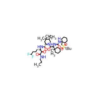 C=CCNC(=O)C(=O)[C@H](CCCC(F)F)NC(=O)[C@@H]1CC(C)(C)C(C)CN1C(=O)[C@@H](NC(=O)NC1(CS(=O)(=O)C(C)(C)C)CCCCC1)C1(C)CCCCC1